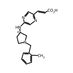 Cc1ccccc1CN1CC[C@@H](Nc2cnc(C=CC(=O)O)cn2)C1